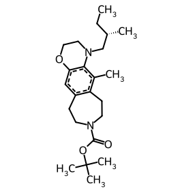 CC[C@H](C)CN1CCOc2cc3c(c(C)c21)CCN(C(=O)OC(C)(C)C)CC3